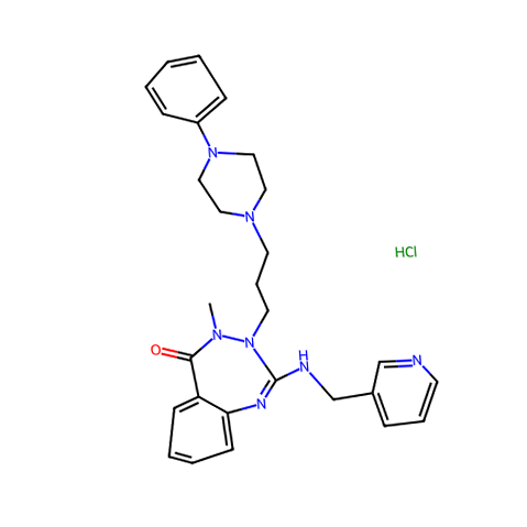 CN1C(=O)c2ccccc2N=C(NCc2cccnc2)N1CCCN1CCN(c2ccccc2)CC1.Cl